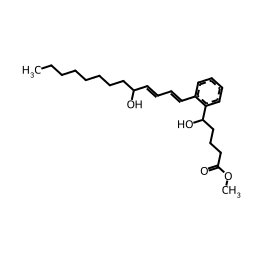 CCCCCCCCC(O)/C=C/C=C/c1ccccc1C(O)CCCC(=O)OC